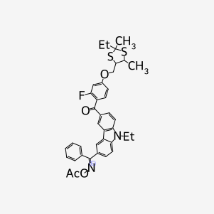 CCn1c2ccc(C(=O)c3ccc(OCC4SC(C)(CC)SC4C)cc3F)cc2c2cc(/C(=N/OC(C)=O)c3ccccc3)ccc21